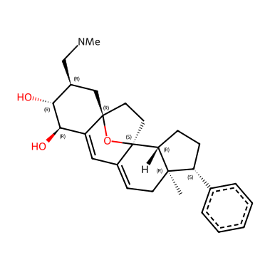 CNC[C@H]1C[C@@]23CC[C@@]4(O2)C(=CC[C@]2(C)[C@@H](c5ccccc5)CC[C@H]24)C=C3[C@@H](O)[C@@H]1O